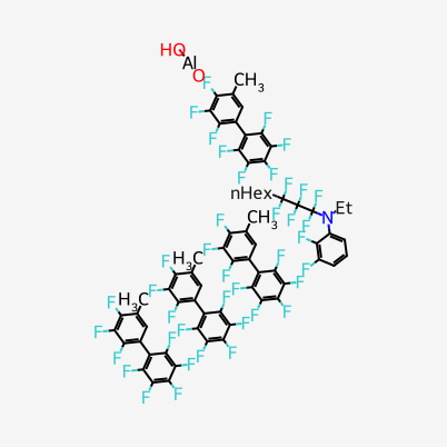 CCCCCCC(F)(F)C(F)(F)C(F)(F)N(CC)c1cccc(F)c1F.Cc1cc(-c2c(F)c(F)c(F)c(F)c2F)c(F)c(F)c1F.Cc1cc(-c2c(F)c(F)c(F)c(F)c2F)c(F)c(F)c1F.Cc1cc(-c2c(F)c(F)c(F)c(F)c2F)c(F)c(F)c1F.Cc1cc(-c2c(F)c(F)c(F)c(F)c2F)c(F)c(F)c1F.[O]=[Al][OH]